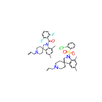 C=CCN1CCC2(CC1)CN(C(=O)c1c(F)cccc1F)c1c(C)cc(C)cc12.C=CCN1CCC2(CC1)CN(S(=O)(=O)c1ccccc1Cl)c1c(C)cc(C)cc12